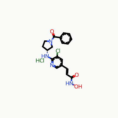 Cl.O=C(/C=C/c1cnc(N[C@@H]2CCN(C(=O)c3ccccc3)C2)c(Cl)c1)NO